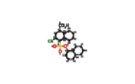 O=C(O)c1cc(Cl)c(S(=O)(=O)Oc2cccc3ccccc23)c2ccccc12